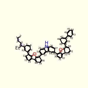 C/C=C\C=C(/CC)c1cccc(-c2cccc3c2oc2c(-c4ccc5[nH]c6ccc(-c7cccc8c7OC7C(C9=CC(c%10ccccc%10)=CCC9)=CC=CC87)cc6c5c4)cccc23)c1